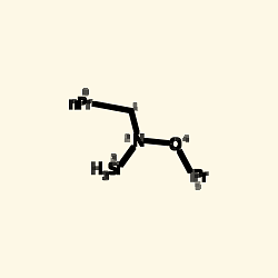 CCCCN([SiH3])OC(C)C